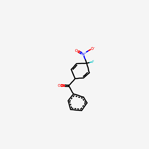 O=C(c1ccccc1)C1C=CC(F)([N+](=O)[O-])C=C1